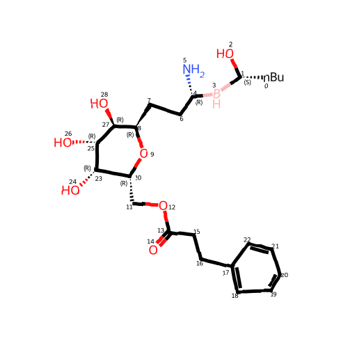 CCCC[C@@H](O)B[C@@H](N)CC[C@H]1O[C@H](COC(=O)CCc2ccccc2)[C@H](O)[C@H](O)[C@H]1O